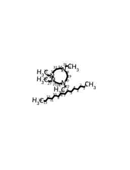 CCCCCCCCCCCCCCC.CCN1CCCN(CC)CCN(CC)N(CC)CCC1